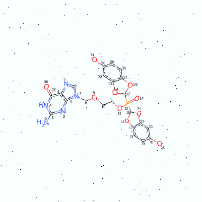 Nc1nc2c(ncn2COCCOP(=O)(C2Oc3ccc([O])cc3O2)C2Oc3ccc([O])cc3O2)c(=O)[nH]1